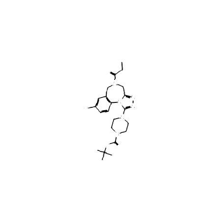 CCC(=O)N1Cc2cc(Cl)ccc2-n2c(nnc2N2CCN(C(=O)OC(C)(C)C)CC2)C1